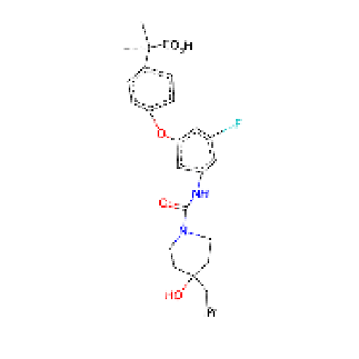 CC(C)CC1(O)CCN(C(=O)Nc2cc(F)cc(Oc3ccc(C(C)(C)C(=O)O)cc3)c2)CC1